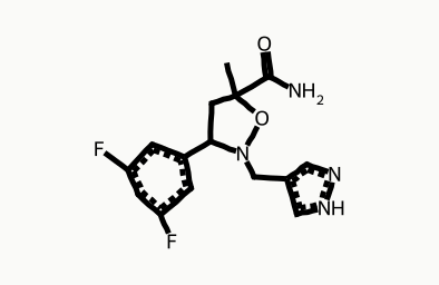 CC1(C(N)=O)CC(c2cc(F)cc(F)c2)N(Cc2cn[nH]c2)O1